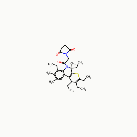 CCC1=C(CC)C(CC)C2=C(S1)C(C)(CC)N(C(=O)CN1C(=O)CCC1=O)c1c2cc(C)c(C)c1CC